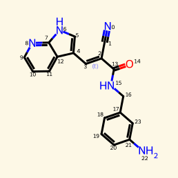 N#C/C(=C\c1c[nH]c2ncccc12)C(=O)NCc1cccc(N)c1